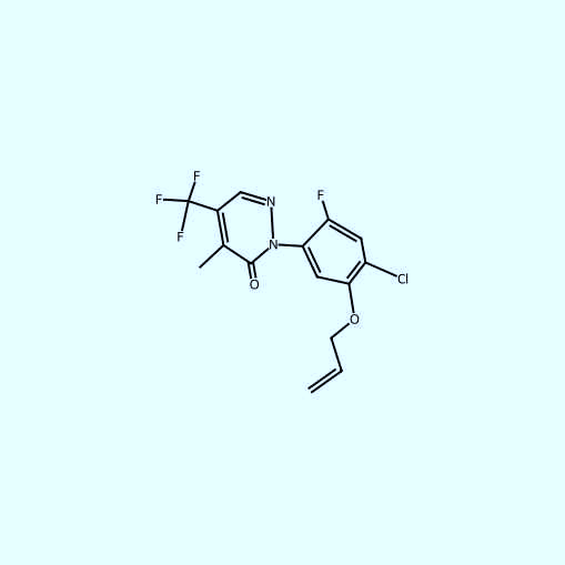 C=CCOc1cc(-n2ncc(C(F)(F)F)c(C)c2=O)c(F)cc1Cl